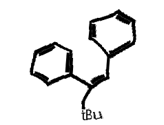 CC(C)(C)C(=Cc1ccccc1)c1ccccc1